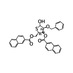 O=C(OC[C@H]1SC(O)[C@@H](OCc2ccccc2)[C@H]1OC(=O)c1ccc2ccccc2c1)c1ccc2ccccc2c1